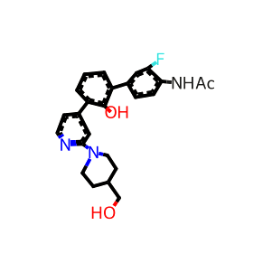 CC(=O)Nc1ccc(-c2cccc(-c3ccnc(N4CCC(CO)CC4)c3)c2O)cc1F